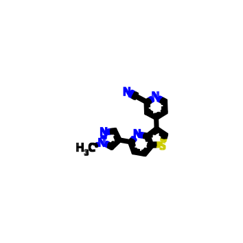 Cn1cc(-c2ccc3scc(-c4ccnc(C#N)c4)c3n2)cn1